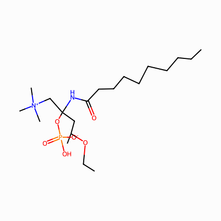 CCCCCCCCCC(=O)NC(CC(C)OCC)(C[N+](C)(C)C)OP(=O)([O-])O